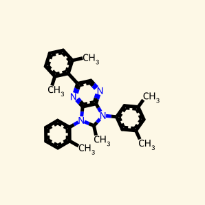 Cc1cc(C)cc(N2c3ncc(-c4c(C)cccc4C)nc3N(c3ccccc3C)C2C)c1